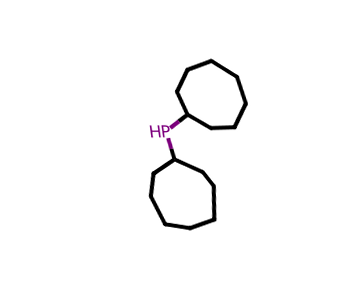 C1CCCC(PC2CCCCCCC2)CCC1